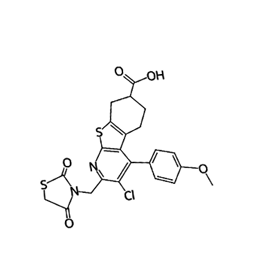 COc1ccc(-c2c(Cl)c(CN3C(=O)CSC3=O)nc3sc4c(c23)CCC(C(=O)O)C4)cc1